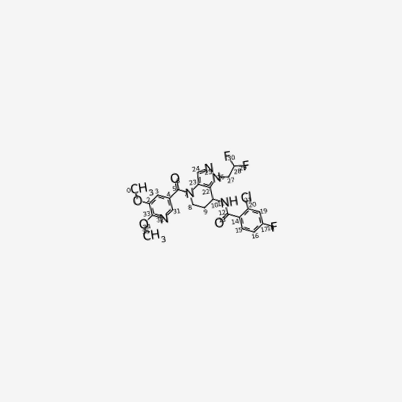 COc1cc(C(=O)N2CCC(NC(=O)c3ccc(F)cc3Cl)c3c2cnn3CC(F)F)cnc1OC